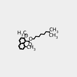 COc1ccc2cccc(C)c2c1C(=O)OCCCCCCC(C)C